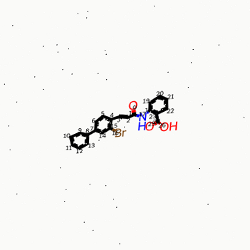 O=C(C=Cc1ccc(-c2ccccc2)cc1Br)Nc1ccccc1C(=O)O